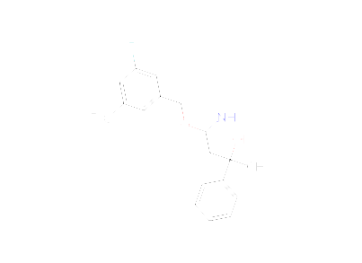 CC(O)(CC(N)OCc1cc(F)cc(C(F)(F)F)c1)c1ccccc1